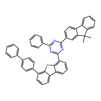 CC1(C)c2ccccc2-c2ccc(-c3nc(-c4ccccc4)nc(-c4cccc5c4sc4c(-c6ccc(-c7ccccc7)cc6)cccc45)n3)cc21